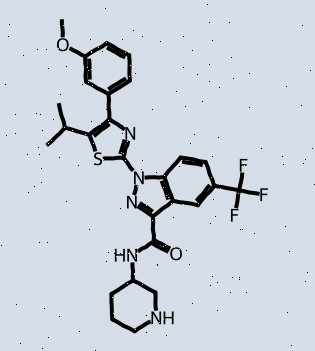 COc1cccc(-c2nc(-n3nc(C(=O)NC4CCCNC4)c4cc(C(F)(F)F)ccc43)sc2C(C)C)c1